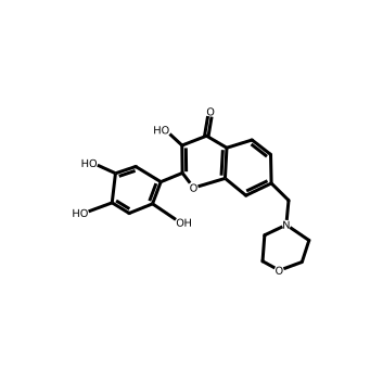 O=c1c(O)c(-c2cc(O)c(O)cc2O)oc2cc(CN3CCOCC3)ccc12